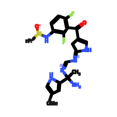 CCC[S+]([O-])Nc1ccc(F)c(C(=O)C2=CN/C(=N/C=N\C(C)(N)c3cc(OC)c[nH]3)C2)c1F